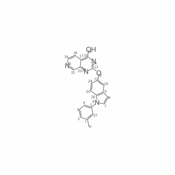 Cc1cccc(-n2ccc3cc(Oc4nc(O)c5ccncc5n4)ccc32)c1